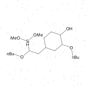 CCCCOC1CC(CC(OCCCC)[SiH](OC)OC)CCC1O